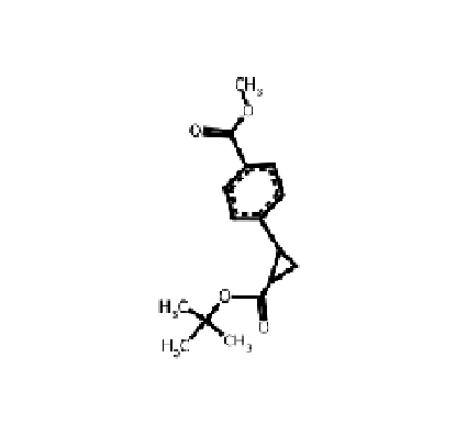 COC(=O)c1ccc(C2CC2C(=O)OC(C)(C)C)cc1